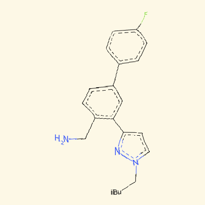 CCC(C)Cn1ccc(-c2cc(-c3ccc(F)cc3)ccc2CN)n1